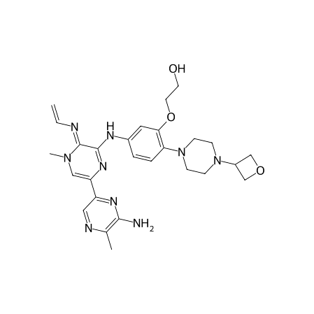 C=C/N=c1/c(Nc2ccc(N3CCN(C4COC4)CC3)c(OCCO)c2)nc(-c2cnc(C)c(N)n2)cn1C